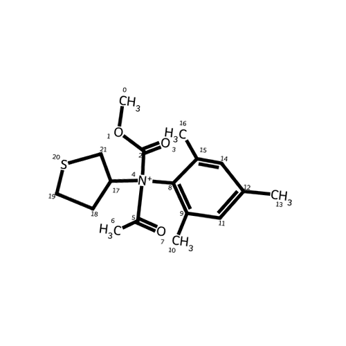 COC(=O)[N+](C(C)=O)(c1c(C)cc(C)cc1C)C1CCSC1